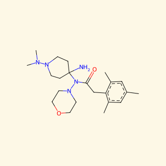 Cc1cc(C)c(CC(=O)N(N2CCOCC2)C2(N)CCN(N(C)C)CC2)c(C)c1